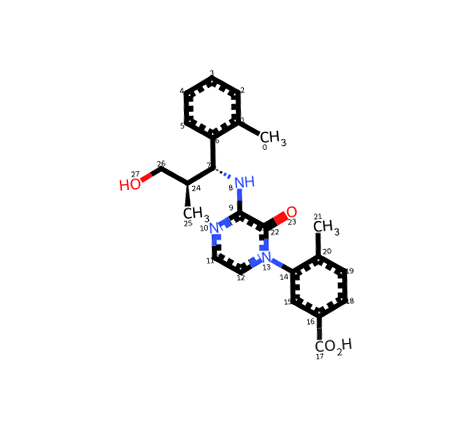 Cc1ccccc1[C@H](Nc1nccn(-c2cc(C(=O)O)ccc2C)c1=O)[C@@H](C)CO